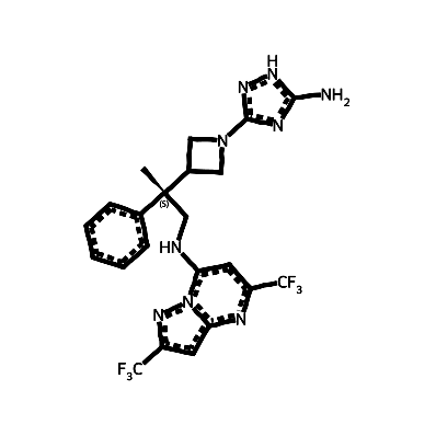 C[C@@](CNc1cc(C(F)(F)F)nc2cc(C(F)(F)F)nn12)(c1ccccc1)C1CN(c2n[nH]c(N)n2)C1